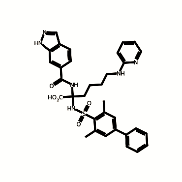 Cc1cc(-c2ccccc2)cc(C)c1S(=O)(=O)NC(CCCCNc1ccccn1)(NC(=O)c1ccc2cn[nH]c2c1)C(=O)O